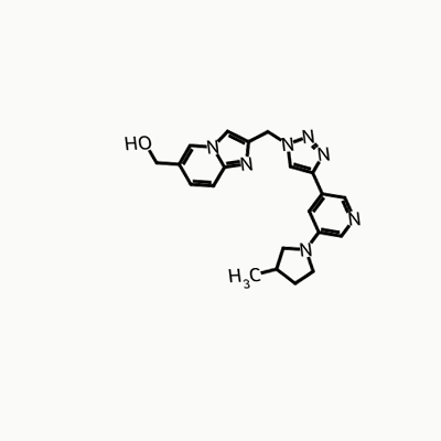 CC1CCN(c2cncc(-c3cn(Cc4cn5cc(CO)ccc5n4)nn3)c2)C1